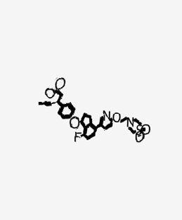 CC#C[C@@H](CC(=O)OC)c1ccc(O[C@@H]2CCc3c(-c4ccc(OCCN5CCS(=O)(=O)CC5)nc4)ccc(F)c32)cc1